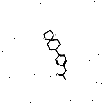 CC(=O)Cc1ccc(C2CCC3(CC2)OCCO3)cc1